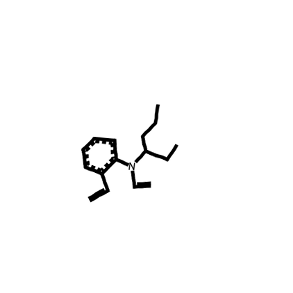 C=Cc1ccccc1N(C=C)C(CC)CCC